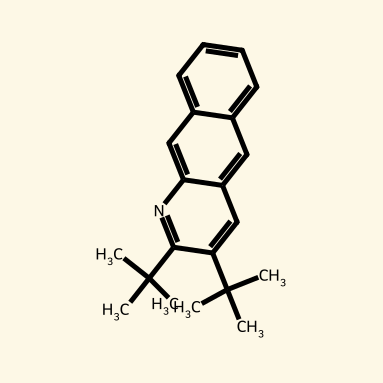 CC(C)(C)c1cc2cc3ccccc3cc2nc1C(C)(C)C